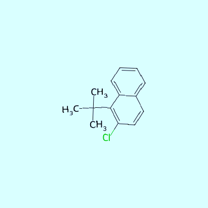 CC(C)(C)c1c(Cl)ccc2ccccc12